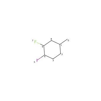 CC1CCC(I)C(F)C1